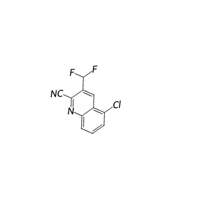 N#Cc1nc2cccc(Cl)c2cc1C(F)F